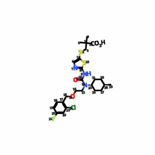 CC(C)(CSc1cnc(NC(=O)N(CCOCc2ccc(F)cc2Cl)[C@H]2CC[C@H](C)CC2)s1)C(=O)O